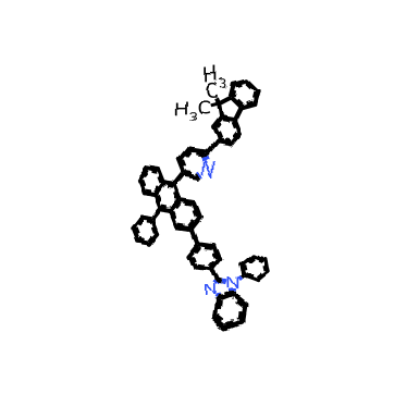 CC1(C)c2ccccc2-c2ccc(-c3ccc(-c4c5ccccc5c(-c5ccccc5)c5cc(-c6ccc(-c7nc8ccccc8n7-c7ccccc7)cc6)ccc45)cn3)cc21